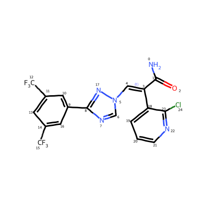 NC(=O)/C(=C/n1cnc(-c2cc(C(F)(F)F)cc(C(F)(F)F)c2)n1)c1cccnc1Cl